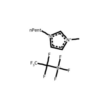 CCCCCn1cc[n+](C)c1.F[B-](F)(F)C(F)(F)C(F)(F)F